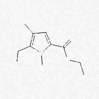 CCOC(=O)c1cc(C)c(CO)n1C